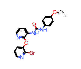 O=C(Nc1ccc(OC(F)(F)F)cc1)Nc1cccnc1Oc1cccnc1Br